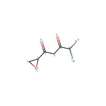 O=C(CC(=O)C1CO1)C(F)F